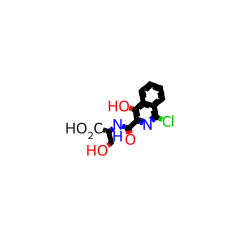 O=C(NC(CO)C(=O)O)c1nc(Cl)c2ccccc2c1O